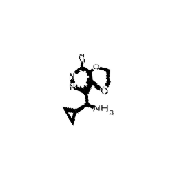 NC(c1nnc(Cl)c2c1OCCO2)C1CC1